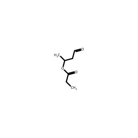 CCC(=O)OC(C)CC=O